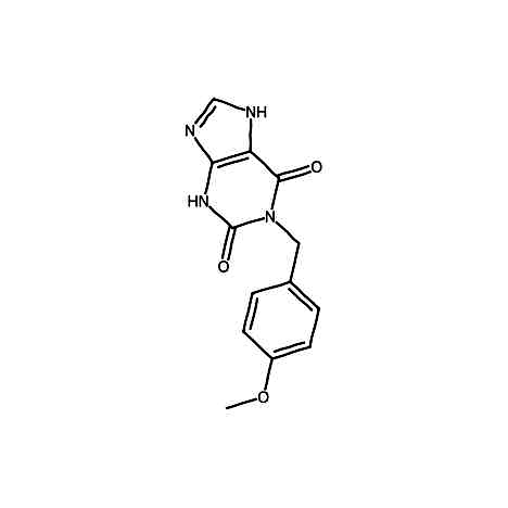 COc1ccc(Cn2c(=O)[nH]c3nc[nH]c3c2=O)cc1